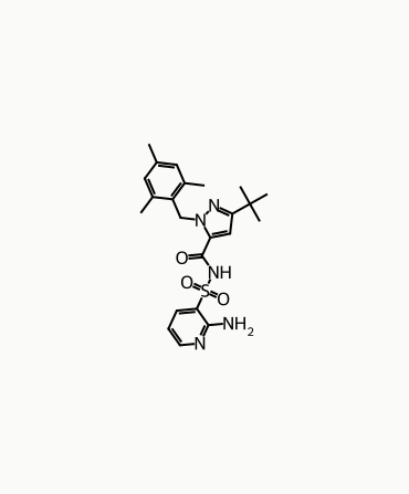 Cc1cc(C)c(Cn2nc(C(C)(C)C)cc2C(=O)NS(=O)(=O)c2cccnc2N)c(C)c1